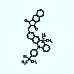 CCC(C)(C)c1ccc(N2c3ccccc3[Si](C)(C)c3cc4cc(C=C5C(=O)c6cc7ccccc7cc6C5=O)ccc4cc32)cc1